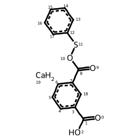 O=C(O)c1cccc(C(=O)OSc2ccccc2)c1.[CaH2]